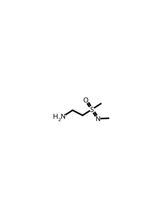 CN=S(C)(=O)CCN